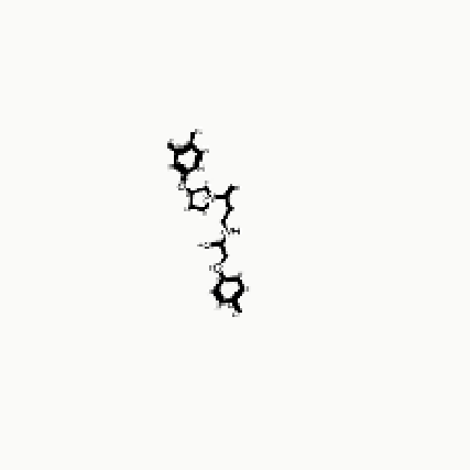 C=C(CCNC(=O)COc1ccc(C)cc1)N1CCC(Oc2ccc(C)c(C)c2)C1